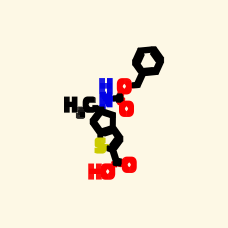 CC1(NC(=O)OCc2ccccc2)Cc2cc(C(=O)O)sc2C1